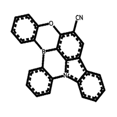 N#Cc1cc2c3ccccc3n3c2c2c1Oc1ccccc1B2c1ccccc1-3